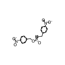 O=[N+]([O-])c1ccc(CO[PH](=O)OCc2ccc([N+](=O)[O-])cc2)cc1